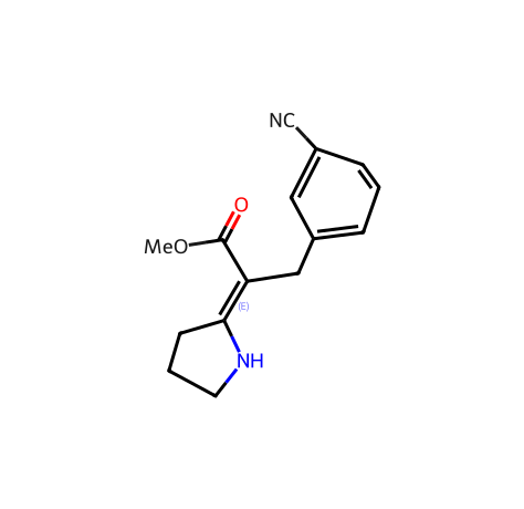 COC(=O)/C(Cc1cccc(C#N)c1)=C1\CCCN1